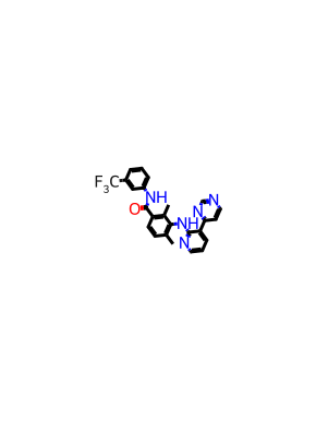 Cc1ccc(C(=O)Nc2cccc(C(F)(F)F)c2)c(C)c1Nc1ncccc1-c1ccncn1